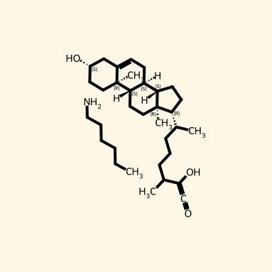 CC(CCCC(C)[C@H]1CC[C@H]2[C@@H]3CC=C4C[C@@H](O)CC[C@]4(C)[C@H]3CC[C@]12C)C(O)=C=O.CCCCCCN